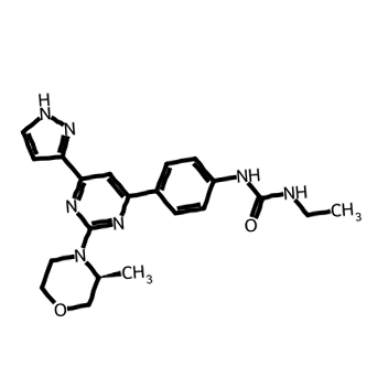 CCNC(=O)Nc1ccc(-c2cc(-c3cc[nH]n3)nc(N3CCOC[C@@H]3C)n2)cc1